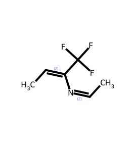 C/C=N\C(=C/C)C(F)(F)F